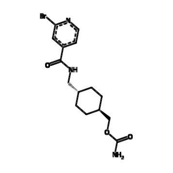 NC(=O)OC[C@H]1CC[C@H](CNC(=O)c2ccnc(Br)c2)CC1